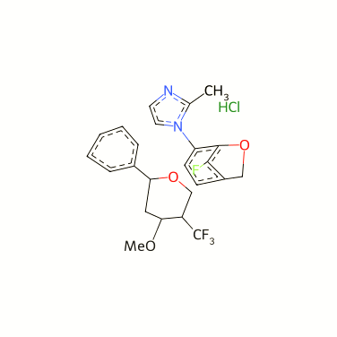 COC1CC(c2ccccc2)OCC1C(F)(F)F.Cc1nccn1-c1ccc2c(F)c1OC2.Cl